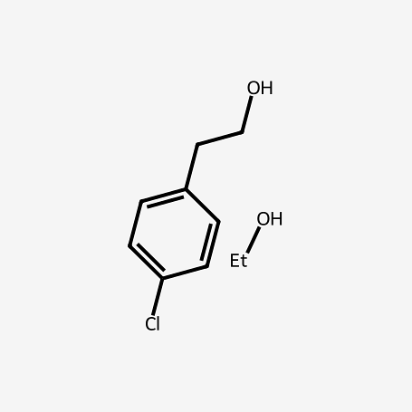 CCO.OCCc1ccc(Cl)cc1